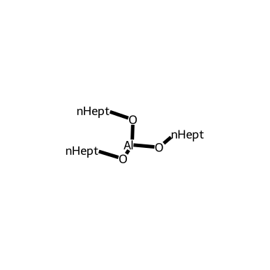 CCCCCCC[O][Al]([O]CCCCCCC)[O]CCCCCCC